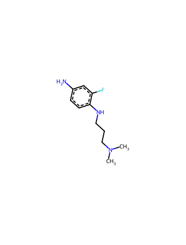 CN(C)CCCNc1ccc(N)cc1F